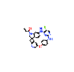 C=CC(=O)N1CC2(CCC2)c2ccc(Nc3nc(Nc4ccc(Oc5cccnc5)cc4)ncc3F)cc21